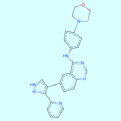 c1ccc(-c2n[nH]cc2-c2ccc3ncnc(Nc4ccc(N5CCOCC5)cc4)c3c2)nc1